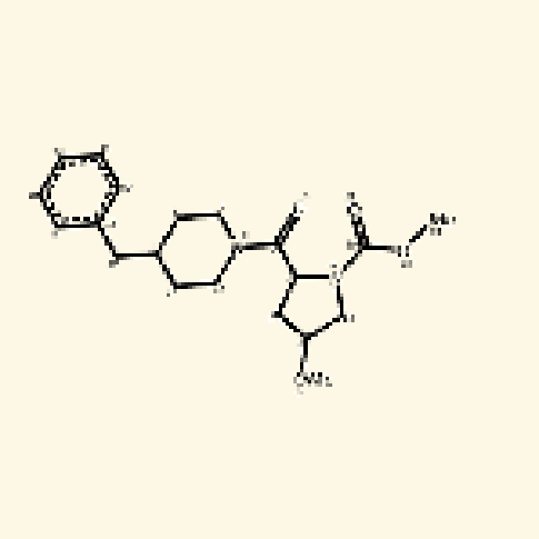 COC1CC(C(=O)N2CCC(Cc3ccccc3)CC2)N(C(=O)OC(C)(C)C)C1